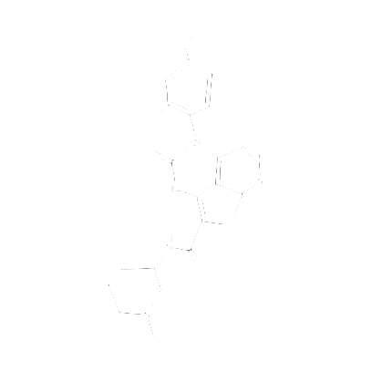 CCOc1ccc(N2C(=O)Nc3c(C(=O)NC4CCCN(C)C4)sc4nccc2c34)c(C)c1